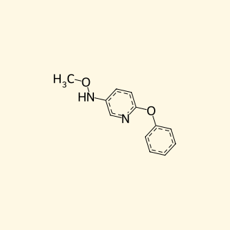 CONc1ccc(Oc2ccccc2)nc1